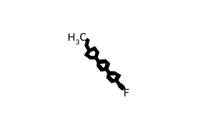 CCCC1CCC(c2ccc(-c3ccc(C#CF)cc3)cc2)CC1